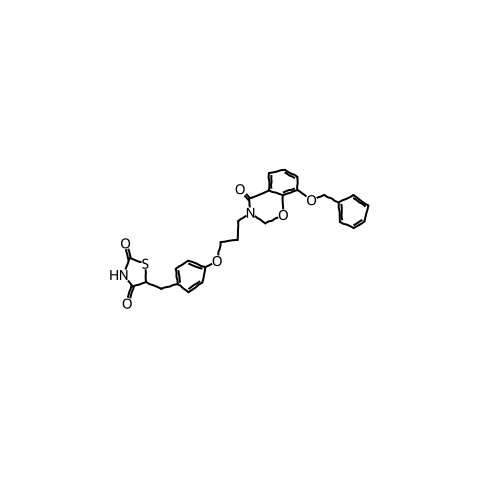 O=C1NC(=O)C(Cc2ccc(OCCCN3COc4c(OCc5ccccc5)cccc4C3=O)cc2)S1